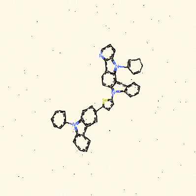 C1=CC(n2c3cccnc3c3ccc4c(c5ccccc5n4-c4ccc(-c5ccc6c(c5)c5ccccc5n6-c5ccccc5)s4)c32)=CCC1